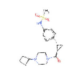 CS(=O)(=O)Nc1ccc([C@@H]2C[C@H]2C(=O)N2CCN(C3CCC3)CC2)cc1